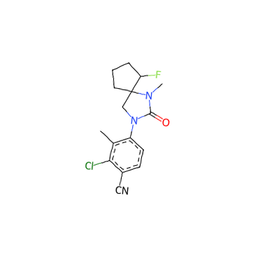 Cc1c(N2CC3(CCCC3F)N(C)C2=O)ccc(C#N)c1Cl